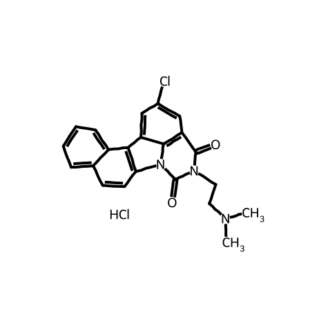 CN(C)CCn1c(=O)c2cc(Cl)cc3c4c5ccccc5ccc4n(c1=O)c23.Cl